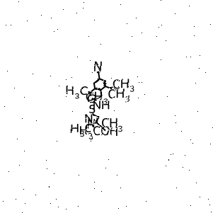 CC(C)c1cc(C#N)cc(C(C)C)c1CC(=O)NSc1cc(C(C)(C)O)n(C)n1